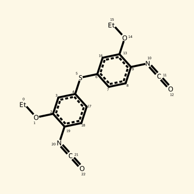 CCOc1cc(Sc2ccc(N=C=O)c(OCC)c2)ccc1N=C=O